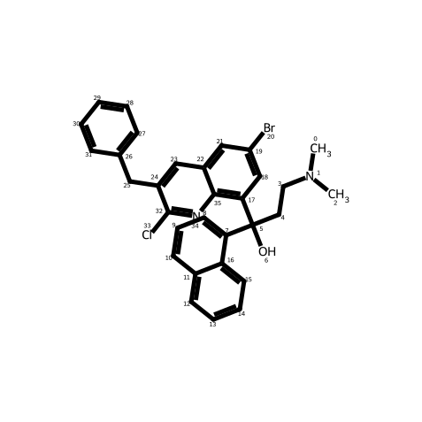 CN(C)CCC(O)(c1cccc2ccccc12)c1cc(Br)cc2cc(Cc3ccccc3)c(Cl)nc12